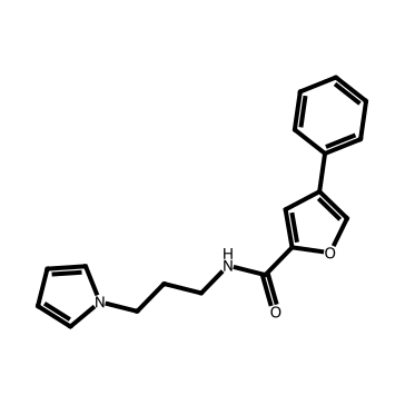 O=C(NCCCn1cccc1)c1cc(-c2ccccc2)co1